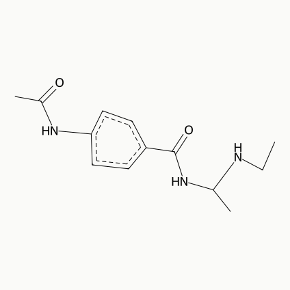 CCNC(C)NC(=O)c1ccc(NC(C)=O)cc1